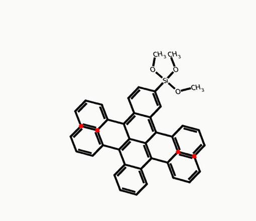 CO[Si](OC)(OC)c1ccc2c(-c3ccccc3)c3c(-c4ccccc4)c4ccccc4c(-c4ccccc4)c3c(-c3ccccc3)c2c1